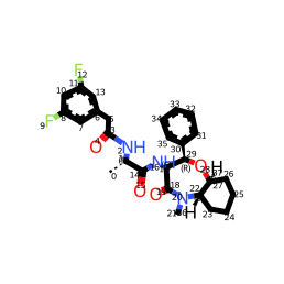 C[C@H](NC(=O)Cc1cc(F)cc(F)c1)C(=O)N[C@@H]1C(=O)N(C)[C@H]2CCCC[C@@H]2O[C@@H]1c1ccccc1